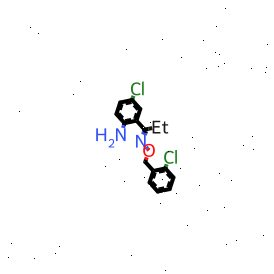 CC/C(=N\OCc1ccccc1Cl)c1cc(Cl)ccc1N